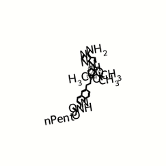 CCCCCOC(=O)Nc1ccc2cc(CCC3[C@@]4(C)C[C@@H](n5ccc6c(N)ncnc65)[C@@H]5OC(C)(C)O[C@@]354)ccc2n1